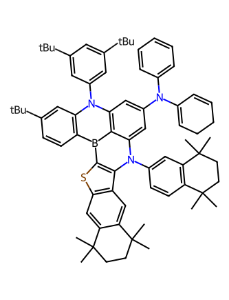 CC(C)(C)c1cc(N2c3cc(C(C)(C)C)ccc3B3c4sc5cc6c(cc5c4N(c4ccc5c(c4)C(C)(C)CCC5(C)C)c4cc(N(C5=CCCC=C5)c5ccccc5)cc2c43)C(C)(C)CCC6(C)C)cc(C(C)(C)C)c1